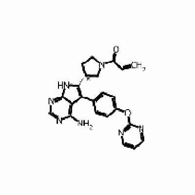 C=CC(=O)N1CC[C@@H](c2[nH]c3ncnc(N)c3c2-c2ccc(Oc3ncccn3)cc2)C1